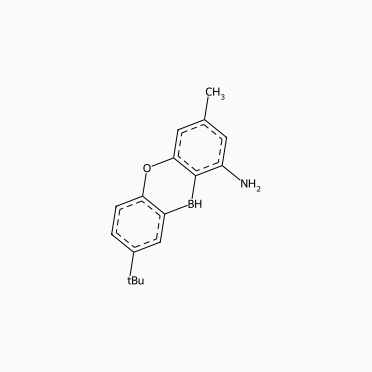 Cc1cc(N)c2c(c1)Oc1ccc(C(C)(C)C)cc1B2